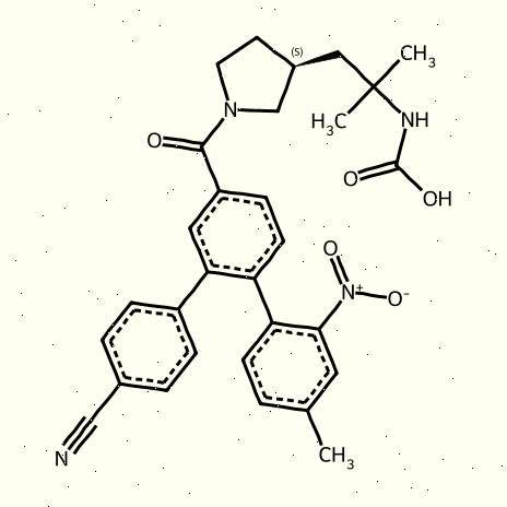 Cc1ccc(-c2ccc(C(=O)N3CC[C@@H](CC(C)(C)NC(=O)O)C3)cc2-c2ccc(C#N)cc2)c([N+](=O)[O-])c1